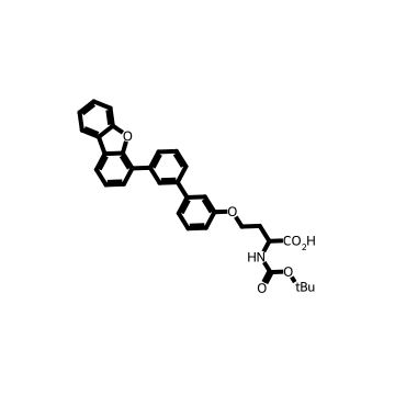 CC(C)(C)OC(=O)NC(CCOc1cccc(-c2cccc(-c3cccc4c3oc3ccccc34)c2)c1)C(=O)O